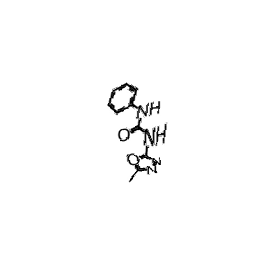 Cc1nnc(NC(=O)Nc2ccccc2)o1